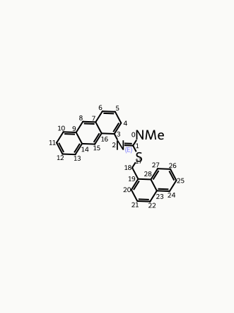 CN/C(=N\c1cccc2cc3ccccc3cc12)SCc1cccc2ccccc12